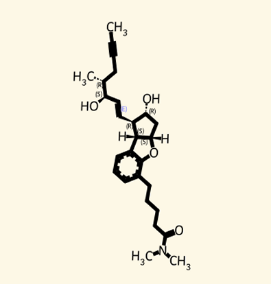 CC#CC[C@@H](C)[C@H](O)/C=C/[C@@H]1[C@H]2c3cccc(CCCCC(=O)N(C)C)c3O[C@H]2C[C@H]1O